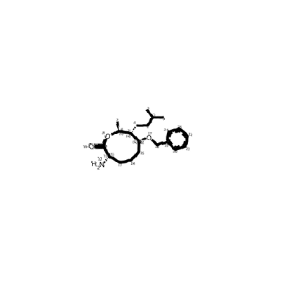 CC(C)CC[C@H]1[C@H](C)OC(=O)[C@@H](N)CCC[C@@H]1OCc1ccccc1